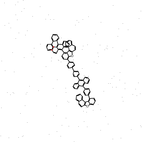 c1ccc(-c2ccccc2-c2c3ccccc3c(-c3ccc(-c4ccc(-c5ccc(-c6c7ccccc7c(-c7ccc(-c8cccc9oc%10ccc%11ccccc%11c%10c89)cc7)c7ccccc67)cc5)cc4)c4oc5ccc6ccccc6c5c34)c3ccccc23)cc1